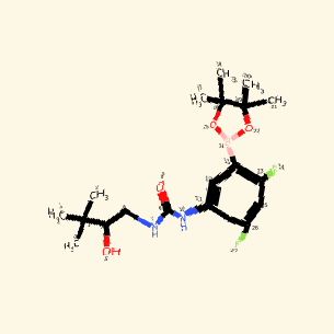 CC(C)(C)C(O)CNC(=O)Nc1cc(B2OC(C)(C)C(C)(C)O2)c(F)cc1F